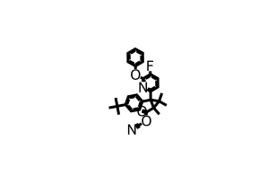 CC(C)(C)c1ccc(C2(c3ccc(F)c(Oc4ccccc4)n3)C(C)(C)C2(C)C(=O)OC#N)cc1